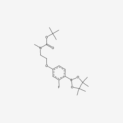 CN(CCOc1ccc(B2OC(C)(C)C(C)(C)O2)c(F)c1)C(=O)OC(C)(C)C